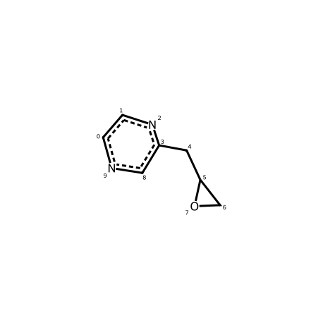 c1cnc(CC2CO2)cn1